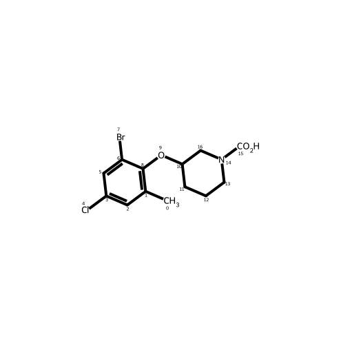 Cc1cc(Cl)cc(Br)c1OC1CCCN(C(=O)O)C1